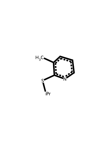 Cc1cccnc1SC(C)C